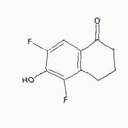 O=C1CCCc2c1cc(F)c(O)c2F